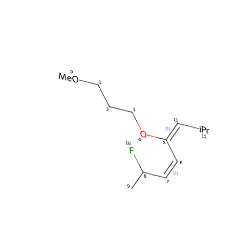 COCCCOC(/C=C\C(C)F)=C/C(C)C